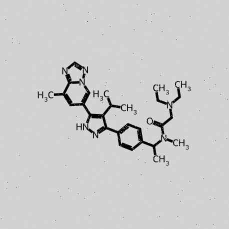 CCN(CC)CC(=O)N(C)C(C)c1ccc(-c2n[nH]c(-c3cc(C)c4ncnn4c3)c2C(C)C)cc1